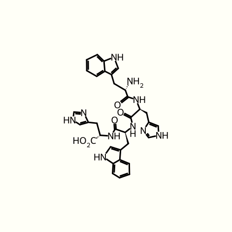 N[C@@H](Cc1c[nH]c2ccccc12)C(=O)N[C@@H](Cc1c[nH]cn1)C(=O)N[C@@H](Cc1c[nH]c2ccccc12)C(=O)N[C@@H](Cc1c[nH]cn1)C(=O)O